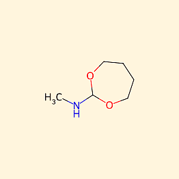 CNC1OCCCCO1